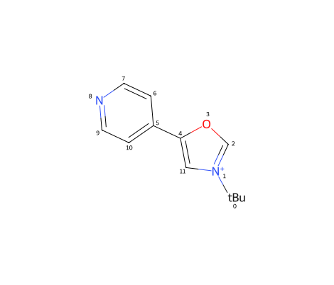 CC(C)(C)[n+]1coc(-c2ccncc2)c1